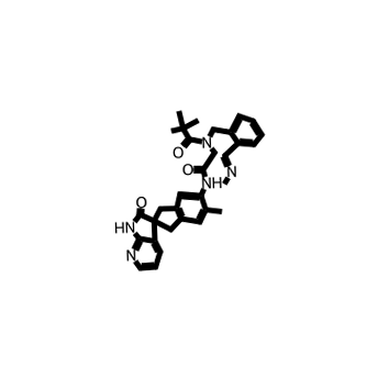 CN=Cc1ccccc1CN(CC(=O)Nc1cc2c(cc1C)CC1(C2)C(=O)Nc2ncccc21)C(=O)C(C)(C)C